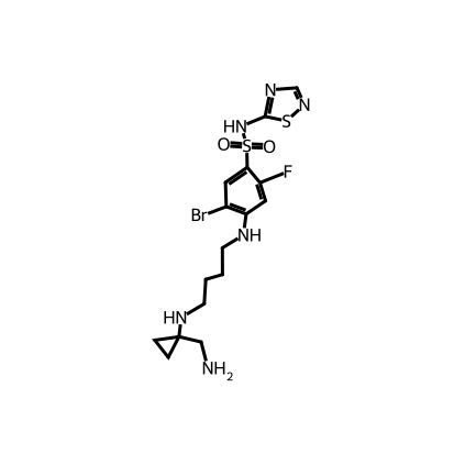 NCC1(NCCCCNc2cc(F)c(S(=O)(=O)Nc3ncns3)cc2Br)CC1